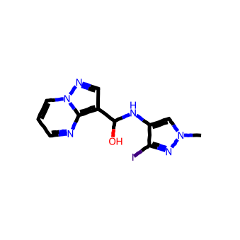 Cn1cc(NC(O)c2cnn3cccnc23)c(I)n1